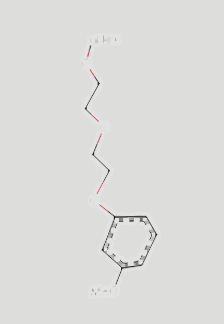 CCCCCCOCCOCCOc1cccc(OC)c1